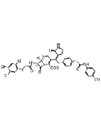 O=C(C[n+]1ccc(CC(=C2CCNC2=O)C2=C(C(=O)[O-])N3C(=O)[C@@H](NC(=O)CSc4cc(Cl)c(Cl)cc4Cl)[C@H]3SC2)cc1)Nc1ccc(O)cc1